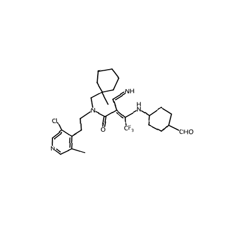 Cc1cncc(Cl)c1CCN(CC1(C)CCCCC1)C(=O)/C(C=N)=C(/NC1CCC(C=O)CC1)C(F)(F)F